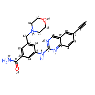 C#Cc1ccc2nc(Nc3cc(CN4CCOCC4)cc(C(N)=O)c3)ncc2c1